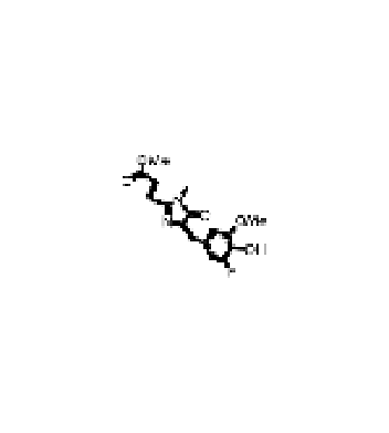 COC(=O)C=CC1=NC(=Cc2cc(F)c(O)c(OC)c2)C(=O)N1C